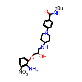 CCCCNC(=O)c1ccc(N2CCC(NC[C@H](O)COc3cccc([N+](=O)[O-])c3N)CC2)cc1